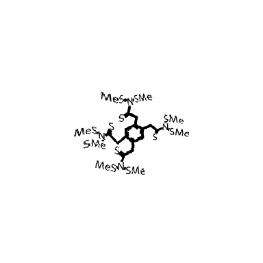 CSN(SC)C(=S)Cc1cc(CC(=S)N(SC)SC)c(CC(=S)N(SC)SC)cc1CC(=S)N(SC)SC